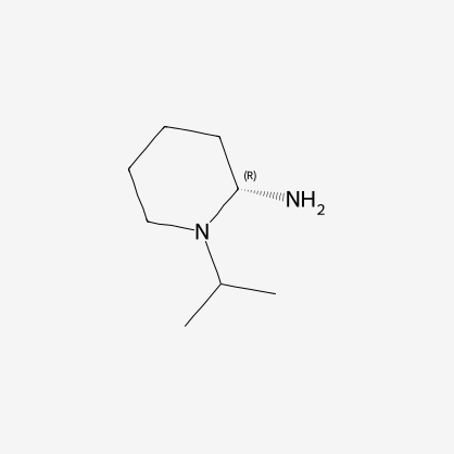 CC(C)N1CCCC[C@@H]1N